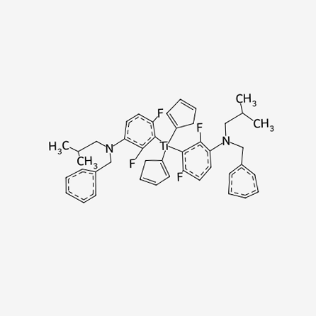 CC(C)CN(Cc1ccccc1)c1ccc(F)[c]([Ti]([C]2=CC=CC2)([C]2=CC=CC2)[c]2c(F)ccc(N(Cc3ccccc3)CC(C)C)c2F)c1F